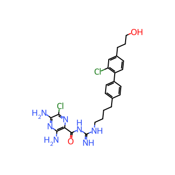 N=C(NCCCCc1ccc(-c2ccc(CCCO)cc2Cl)cc1)NC(=O)c1nc(Cl)c(N)nc1N